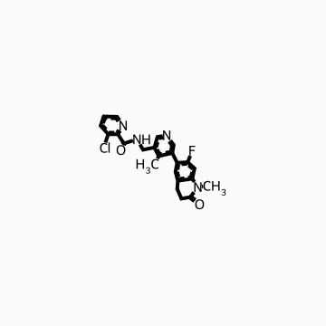 Cc1c(CNC(=O)c2ncccc2Cl)cncc1-c1cc2c(cc1F)N(C)C(=O)CC2